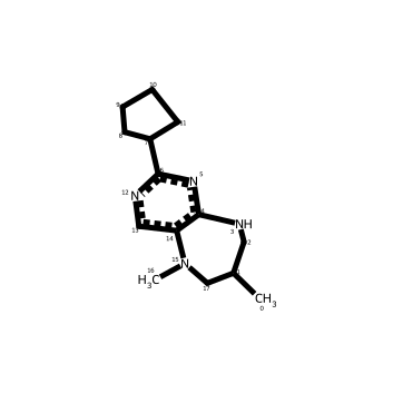 CC1CNc2nc(C3CCCC3)ncc2N(C)C1